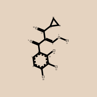 CCOC=C(C(=O)c1ccc(Cl)c(Cl)c1Cl)C(=O)C1CC1